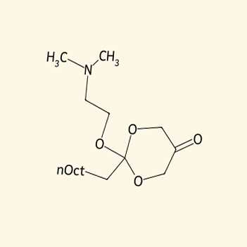 CCCCCCCCCC1(OCCN(C)C)OCC(=O)CO1